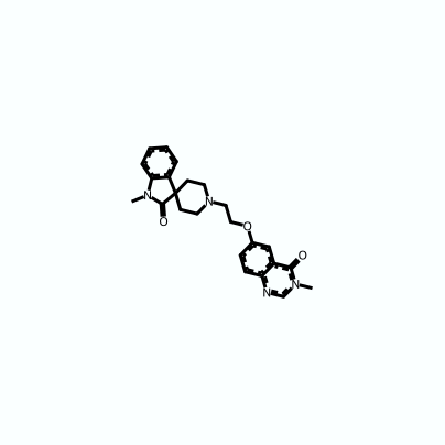 CN1C(=O)C2(CCN(CCOc3ccc4ncn(C)c(=O)c4c3)CC2)c2ccccc21